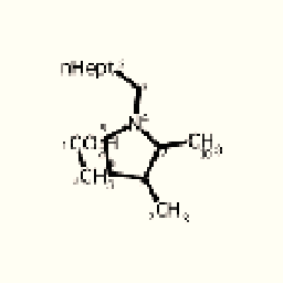 CC(=O)O.CCCCCCCCN1CCC(C)C1C